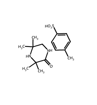 CC1(C)CNC(=O)C(C)(C)N1.Cc1ccc(S(=O)(=O)O)cc1